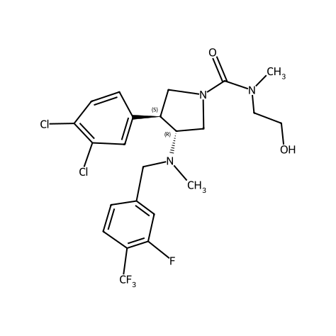 CN(CCO)C(=O)N1C[C@H](c2ccc(Cl)c(Cl)c2)[C@@H](N(C)Cc2ccc(C(F)(F)F)c(F)c2)C1